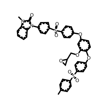 Cc1ccc(S(=O)(=O)c2ccc(Oc3ccc(Oc4ccc(S(=O)(=O)c5ccc(-n6c(=O)n(C)c7ccccc76)cc5)cc4)cc3OCC3CO3)cc2)cc1